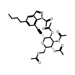 CCCCc1cc(C#C[C@H]2O[C@H](COC(C)=O)[C@@H](OC(C)=O)[C@H](OC(C)=O)[C@@H]2OC(C)=O)c2c(cnn2C(C)=O)c1